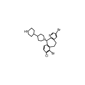 Clc1ccc2c(c1Br)CCc1cc(Br)cnc1C2N1CCC(C2CCNCC2)CC1